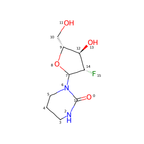 O=C1NCCCN1C1O[C@H](CO)[C@@H](O)[C@@H]1F